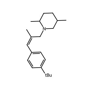 CC(=Cc1ccc(C(C)(C)C)cc1)CN1CC(C)CCC1C